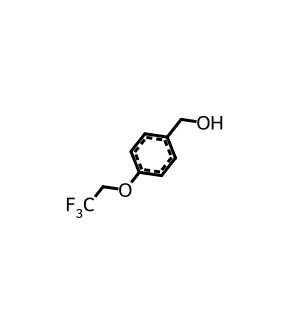 OCc1ccc(OCC(F)(F)F)cc1